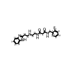 O=C(CC(=O)NCc1ncccc1F)NCCNCCc1nc2ccccc2[nH]1